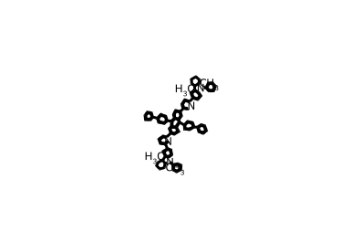 CC12CCCCC1(C)N(c1ccccc1)c1ccc(-c3ccc(-c4ccc5c(-c6ccc(-c7ccccc7)cc6)c6cc(-c7cccc(-c8ccc9c(c8)C8(C)CCCCC8(C)N9c8ccccc8)n7)ccc6c(-c6ccc(-c7ccccc7)cc6)c5c4)cn3)cc12